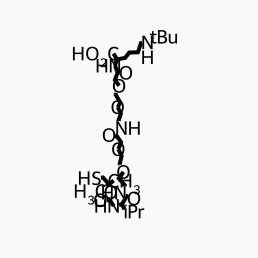 CC(C)C(NC(=O)OC(C)(C)CS)C(=O)NCCOCCOCC(=O)NCCOCCOCC(=O)NC(CCCCNC(C)(C)C)C(=O)O